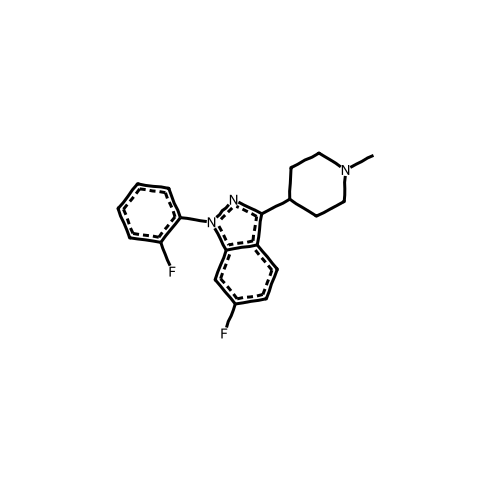 CN1CCC(c2nn(-c3ccccc3F)c3cc(F)ccc23)CC1